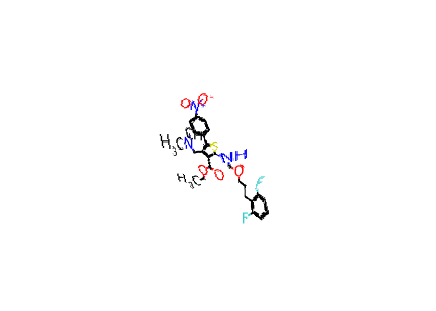 CCOC(=O)c1c(NCOCCCc2c(F)cccc2F)sc(-c2ccc([N+](=O)[O-])cc2)c1CN(C)C